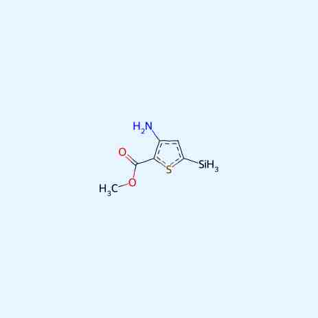 COC(=O)c1sc([SiH3])cc1N